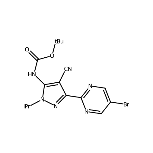 CC(C)n1nc(-c2ncc(Br)cn2)c(C#N)c1NC(=O)OC(C)(C)C